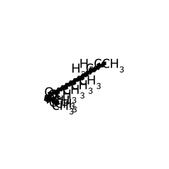 C/C=C/C(C)=C/C=C/C(C)=C/C=C/C=C(C)/C=C/C=C(C)/C=C/C=C(\C)CC/C=C(\C)COC(=O)C1CCCN1C(=O)OC(C)(C)C